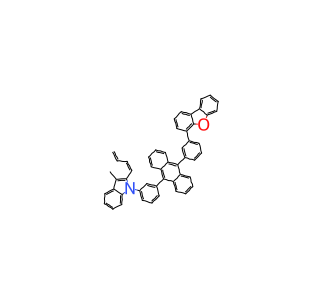 C=C/C=C\c1c(C)c2ccccc2n1-c1cccc(-c2c3ccccc3c(-c3cccc(-c4cccc5c4oc4ccccc45)c3)c3ccccc23)c1